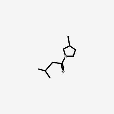 CC(C)CC(=O)N1CCC(C)C1